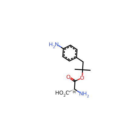 CC(C)(Cc1ccc(N)cc1)OC(=O)[C@H](N)C(=O)O